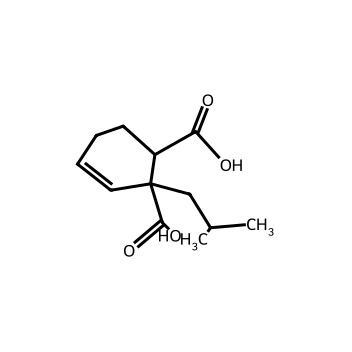 CC(C)CC1(C(=O)O)C=CCCC1C(=O)O